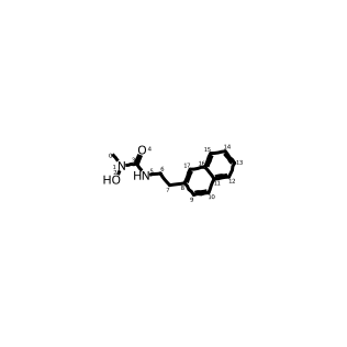 CN(O)C(=O)NCCc1ccc2ccccc2c1